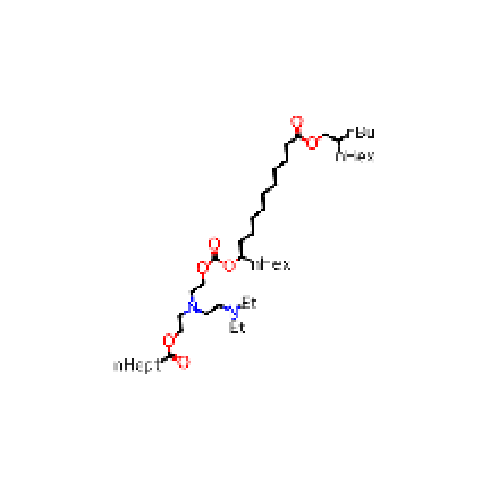 CCCCCCCC(=O)OCCN(CCOC(=O)OC(CCCCCC)CCCCCCCCCC(=O)OCC(CCCC)CCCCCC)CCN(CC)CC